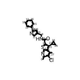 Cc1nc2sc(C(=O)NCc3cnn(-c4ccccc4)c3)c(C3CC3)c2c(C)c1Cl